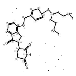 COCCN(CCOC)CC1C=CC(COc2cccc3c2CN(C2CCC(=O)NC2=O)C3=O)=CC1